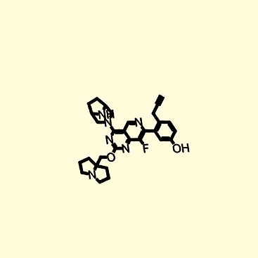 C#CCc1ccc(O)cc1-c1ncc2c(N3CC4CCC(C3)N4)nc(OCC34CCCN3CCC4)nc2c1F